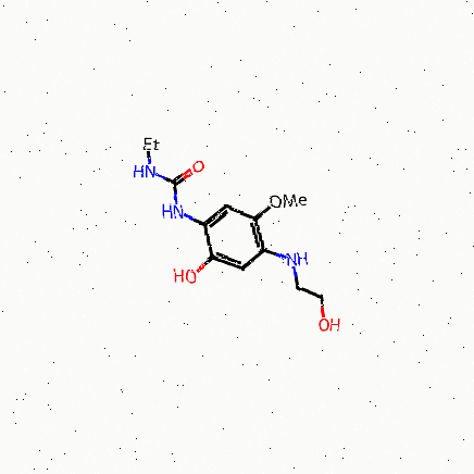 CCNC(=O)Nc1cc(OC)c(NCCO)cc1O